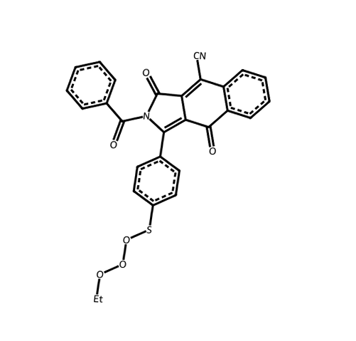 CCOOOSc1ccc(C2=C3C(=O)c4ccccc4C(C#N)=C3C(=O)N2C(=O)c2ccccc2)cc1